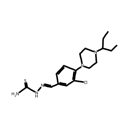 CCC(CC)N1CCN(c2ccc(C=NNC(N)=S)cc2Cl)CC1